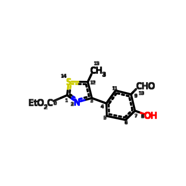 CCOC(=O)c1nc(-c2ccc(O)c(C=O)c2)c(C)s1